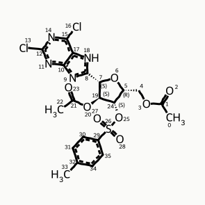 CC(=O)OC[C@H]1O[C@@H](c2nc3nc(Cl)nc(Cl)c3[nH]2)[C@H](OC(C)=O)[C@H]1OS(=O)(=O)c1ccc(C)cc1